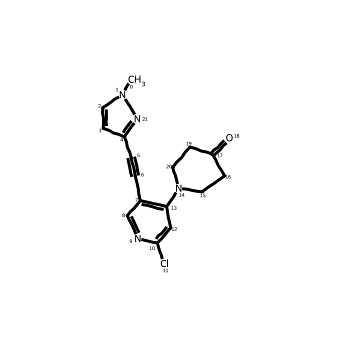 Cn1ccc(C#Cc2cnc(Cl)cc2N2CCC(=O)CC2)n1